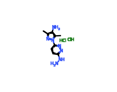 Cc1nn(-c2ccc(NN)nn2)c(C)c1N.Cl.Cl